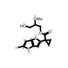 COC(CO)COC(=O)C1(c2cc3sc(I)cc3s2)CC1